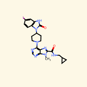 Cn1c(C(=O)NCC2CC2)nc2c(N3CCC(n4c(=O)[nH]c5cc(I)ccc54)CC3)ncnc21